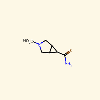 NC(=S)C1C2CN(C(=O)O)CC21